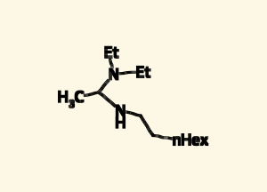 CCCCCCCCNC(C)N(CC)CC